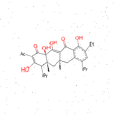 CCc1cc(C(C)C)c2c(c1O)C(=O)C1=C(O)[C@@]3(O)C(=O)C(C(C)=O)=C(O)C(C(C)C)[C@@]3(C)C[C@@]1(C)C2